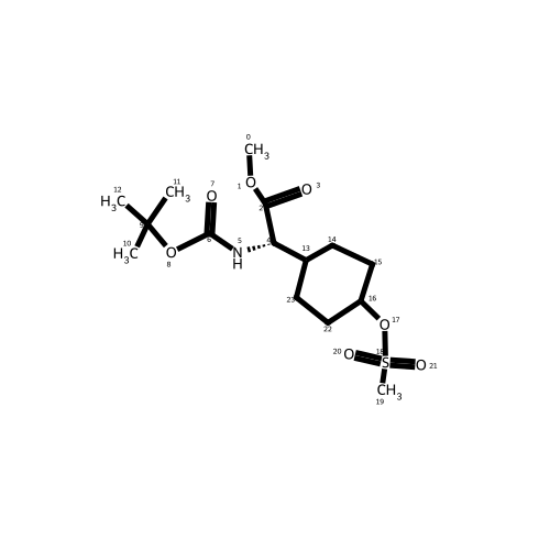 COC(=O)[C@@H](NC(=O)OC(C)(C)C)C1CCC(OS(C)(=O)=O)CC1